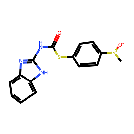 C[S+]([O-])c1ccc(SC(=O)Nc2nc3ccccc3[nH]2)cc1